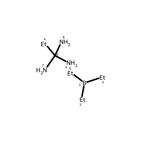 CCB(CC)CC.CCC(N)(N)N